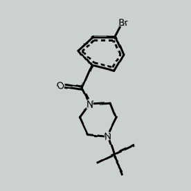 CC(C)(C)N1CCN(C(=O)c2ccc(Br)cc2)CC1